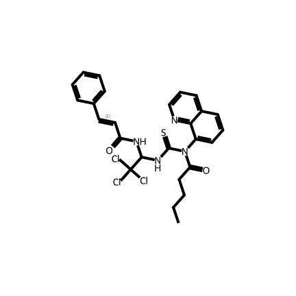 CCCCC(=O)N(C(=S)NC(NC(=O)/C=C/c1ccccc1)C(Cl)(Cl)Cl)c1cccc2cccnc12